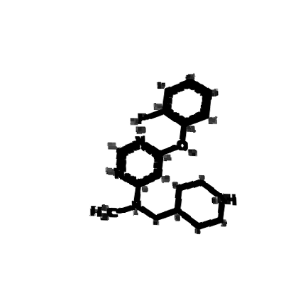 CN(CC1CCNCC1)c1cc(Oc2ccccc2F)ncn1